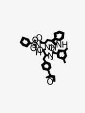 Cc1cc(C)cc(C(=O)N(C)C(Cc2ccc(-c3ccoc3)cc2)C(=O)NC(Cc2c[nH]c3ccccc23)C(=O)NS(=O)(=O)c2ccccc2)c1